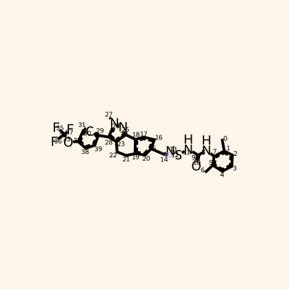 Cc1cccc(C)c1NC(=O)NS/N=C/c1ccc2c(c1)CCc1c-2nn(C)c1-c1ccc(OC(F)(F)F)cc1